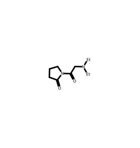 CCN(CC)CC(=O)N1CCCC1=O